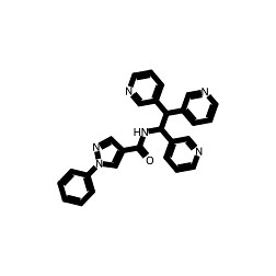 O=C(NC(c1cccnc1)C(c1cccnc1)c1cccnc1)c1cnn(-c2ccccc2)c1